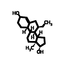 CC[C@@H]1CC2=C[C@H](O)CC[C@@H]2[C@H]2CC[C@]3(C)[C@@H](O)CC[C@H]3[C@H]12